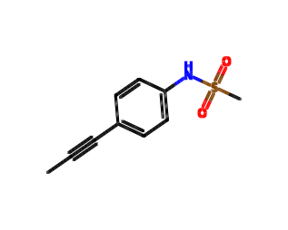 CC#Cc1ccc(NS(C)(=O)=O)cc1